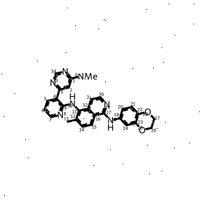 CNc1cc(-c2cccnc2Nc2c(C)ccc3c(Nc4ccc5c(c4)OCCO5)nccc23)ncn1